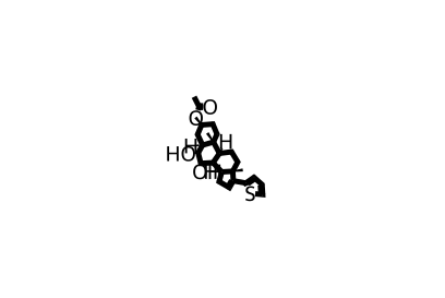 CC(=O)O[C@H]1CC[C@@]2(C)[C@H](C1)[C@@H](O)[C@H](O)C1[C@@H]2CC[C@]2(C)C(c3cccs3)=CC[C@@H]12